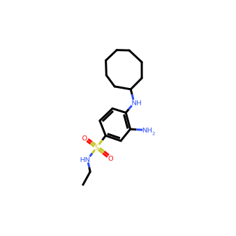 CCNS(=O)(=O)c1ccc(NC2CCCCCCC2)c(N)c1